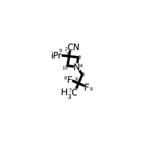 CC(C)C1(C#N)CN(CC(C)(F)F)C1